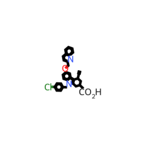 C#CC1CC(CC(=O)O)Cc2c1c1cc(OCc3ccc4ccccc4n3)ccc1n2Cc1ccc(Cl)cc1